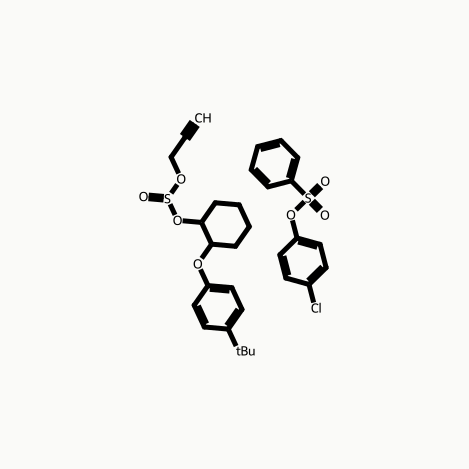 C#CCOS(=O)OC1CCCCC1Oc1ccc(C(C)(C)C)cc1.O=S(=O)(Oc1ccc(Cl)cc1)c1ccccc1